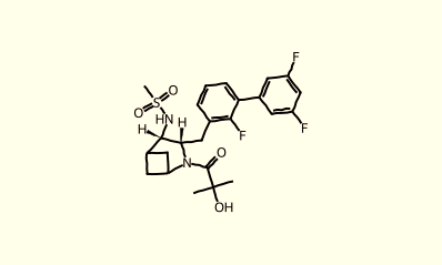 CC(C)(O)C(=O)N1C2CC(C2)[C@H](NS(C)(=O)=O)[C@@H]1Cc1cccc(-c2cc(F)cc(F)c2)c1F